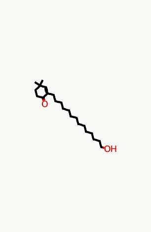 CC1(C)C=C(CCCCCCCCCCCCCCO)C(=O)CC1